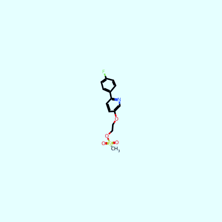 CS(=O)(=O)OCCOc1ccc(-c2ccc(F)cc2)nc1